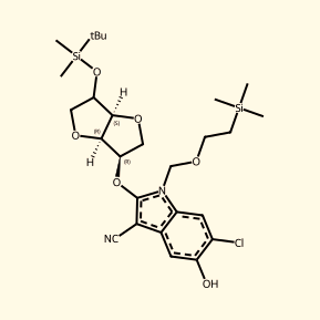 CC(C)(C)[Si](C)(C)OC1CO[C@H]2[C@@H]1OC[C@H]2Oc1c(C#N)c2cc(O)c(Cl)cc2n1COCC[Si](C)(C)C